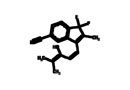 CC(C)=C(O)/C=C\C1=C(C)C(F)(F)c2ccc(C#N)cc21